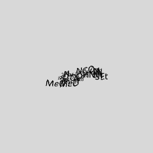 CCc1nnc(NC(=O)/C(C#N)=C/c2ccc(OCc3ncc(C)c(OC)c3C)c(OC)c2)s1